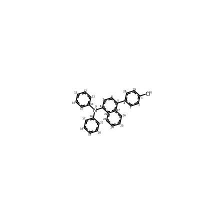 Clc1ccc(-c2ccc(N(c3ccccc3)c3ccccc3)c3ccccc23)cc1